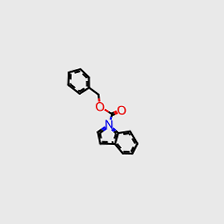 O=C(OCc1ccccc1)n1ccc2ccccc21